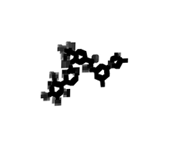 [2H]c1nc([2H])c(-c2ccnc(Nc3cc(C(=O)Nc4cc(C)cc(-n5cnc(C)c5)c4)ccc3C([2H])([2H])[2H])n2)c([2H])c1[2H]